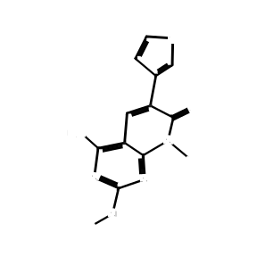 CCNc1nc(C)c2cc(-c3ccoc3)c(=O)n(CC)c2n1